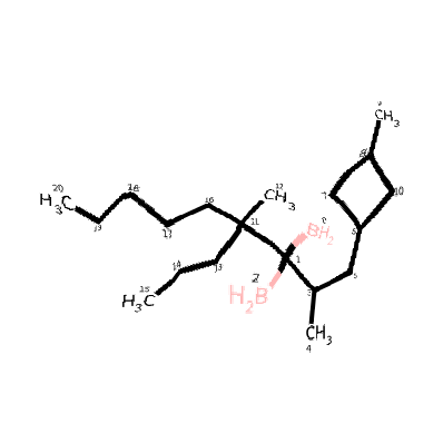 BC(B)(C(C)CC1CC(C)C1)C(C)(CCC)CCCCC